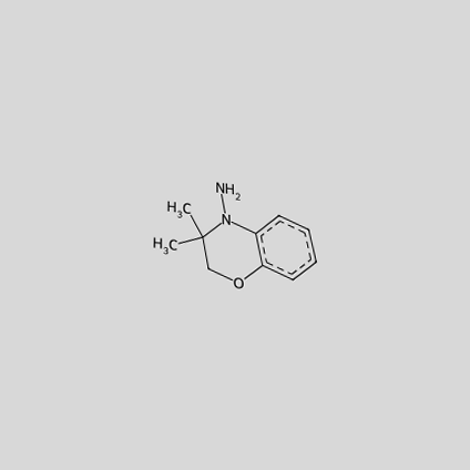 CC1(C)COc2ccccc2N1N